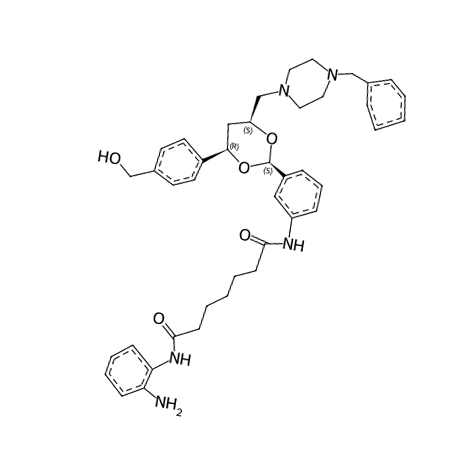 Nc1ccccc1NC(=O)CCCCCC(=O)Nc1cccc([C@@H]2O[C@H](CN3CCN(Cc4ccccc4)CC3)C[C@H](c3ccc(CO)cc3)O2)c1